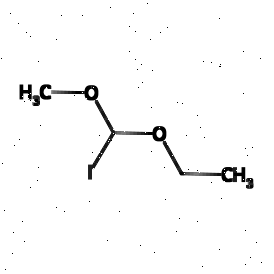 CCOC(I)OC